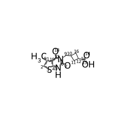 Cc1csc2[nH]c(=O)n(CC3CC(C(=O)O)C3)c(=O)c12